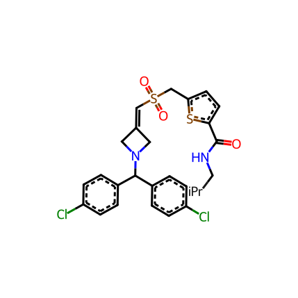 CC(C)CNC(=O)c1ccc(CS(=O)(=O)C=C2CN(C(c3ccc(Cl)cc3)c3ccc(Cl)cc3)C2)s1